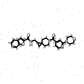 O=C(NCC1CC12CCN(C(=O)c1ccnc(N3CCOCC3)c1)CC2)c1cc2ccncc2o1